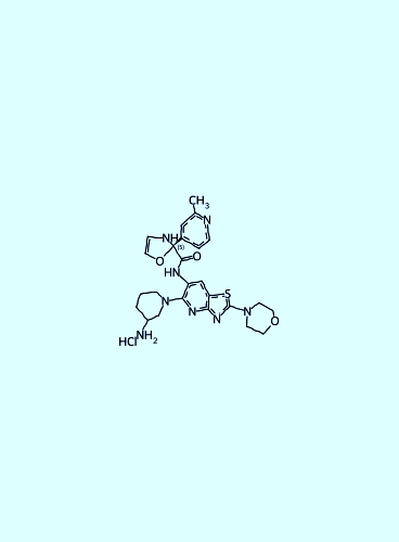 Cc1cc([C@]2(C(=O)Nc3cc4sc(N5CCOCC5)nc4nc3N3CCCC(N)C3)NC=CO2)ccn1.Cl